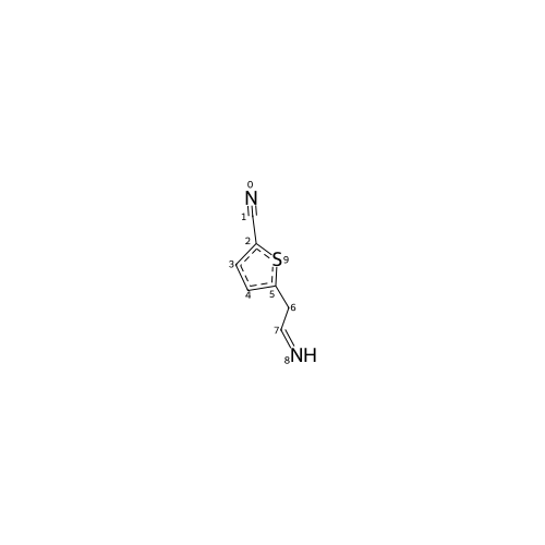 N#Cc1ccc(CC=N)s1